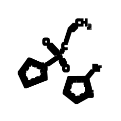 Brc1cccs1.C=CCS(=O)(=O)n1cccc1